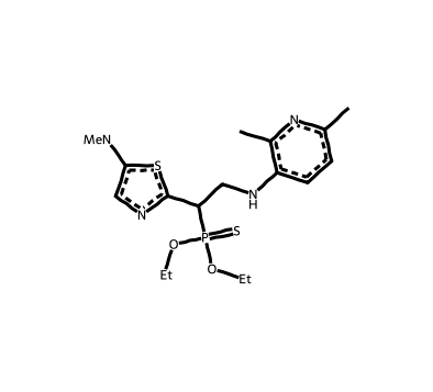 CCOP(=S)(OCC)C(CNc1ccc(C)nc1C)c1ncc(NC)s1